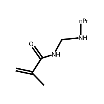 C=C(C)C(=O)NCNCCC